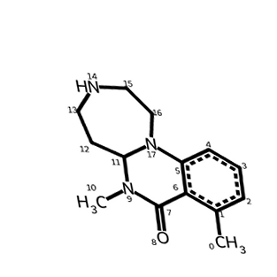 Cc1cccc2c1C(=O)N(C)C1CCNCCN21